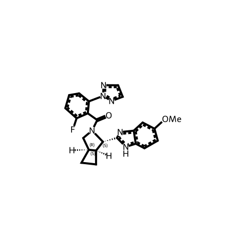 COc1ccc2[nH]c([C@@H]3[C@H]4CC[C@H]4CN3C(=O)c3c(F)cccc3-n3nccn3)nc2c1